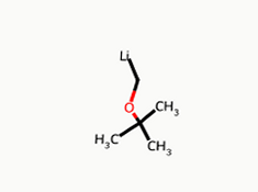 [Li][CH2]OC(C)(C)C